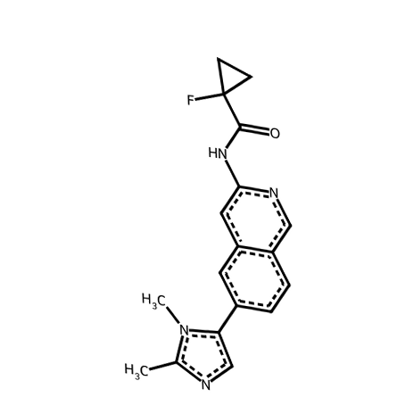 Cc1ncc(-c2ccc3cnc(NC(=O)C4(F)CC4)cc3c2)n1C